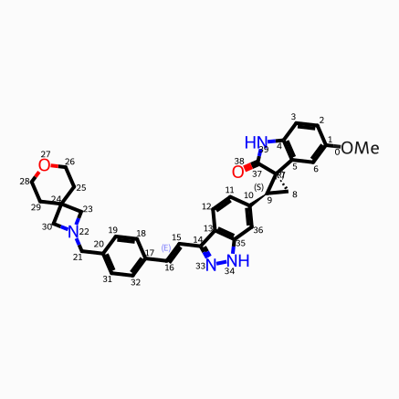 COc1ccc2c(c1)[C@]1(C[C@H]1c1ccc3c(/C=C/c4ccc(CN5CC6(CCOCC6)C5)cc4)n[nH]c3c1)C(=O)N2